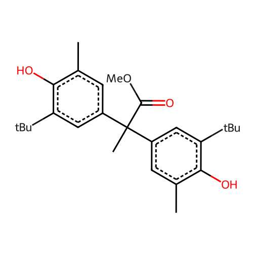 COC(=O)C(C)(c1cc(C)c(O)c(C(C)(C)C)c1)c1cc(C)c(O)c(C(C)(C)C)c1